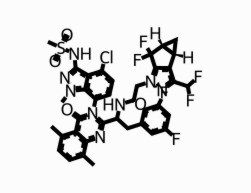 Cc1ccc(C)c2c(=O)n(-c3ccc(Cl)c4c(NS(C)(=O)=O)nn(C)c34)c(C(Cc3cc(F)cc(F)c3)NC(=O)Cn3nc(C(F)F)c4c3C(F)(F)[C@@H]3C[C@H]43)nc12